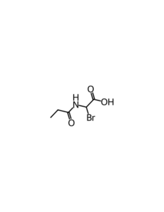 CCC(=O)NC(Br)C(=O)O